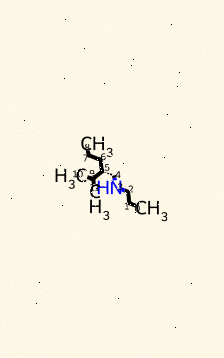 CCCNC[C@@H](CCC)C(C)C